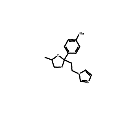 CC1COC(CCn2ccnc2)(c2ccc(C(C)(C)C)cc2)O1